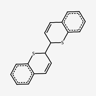 C1=CC(C2C=Cc3ccccc3S2)Sc2ccccc21